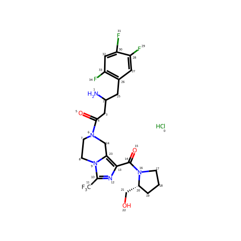 Cl.NC(CC(=O)N1CCn2c(C(F)(F)F)nc(C(=O)N3CCC[C@@H]3CO)c2C1)Cc1cc(F)c(F)cc1F